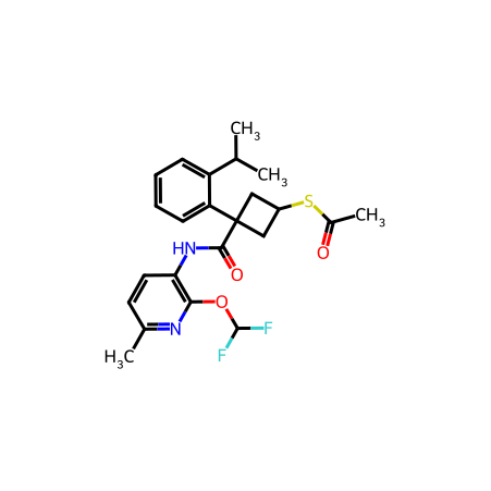 CC(=O)SC1CC(C(=O)Nc2ccc(C)nc2OC(F)F)(c2ccccc2C(C)C)C1